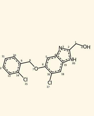 OCc1nc2cc(OCc3ccccc3Cl)c(Cl)cc2[nH]1